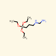 CCO[Si](CCCNCN)(OCC)OCC